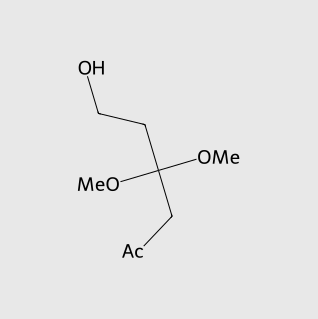 COC(CCO)(CC(C)=O)OC